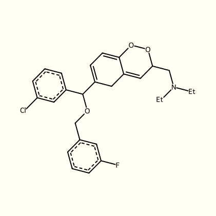 CCN(CC)CC1C=C2CC(C(OCc3cccc(F)c3)c3cccc(Cl)c3)=CC=C2OO1